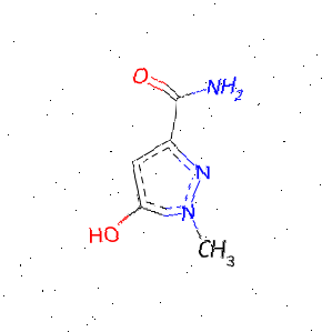 Cn1nc(C(N)=O)cc1O